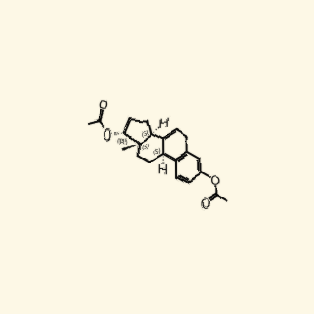 CC(=O)Oc1ccc2c(c1)CC=C1[C@@H]2CC[C@]2(C)[C@H](OC(C)=O)CC[C@@H]12